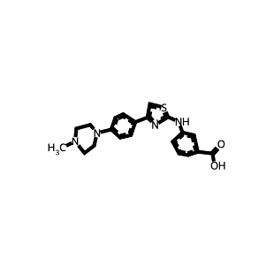 CN1CCN(c2ccc(-c3csc(Nc4cccc(C(=O)O)c4)n3)cc2)CC1